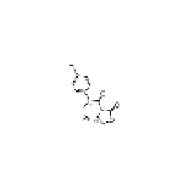 CC(C)[C@H]1COC(=O)N1C(=O)[C@@H](C)c1ccc(Cl)cc1